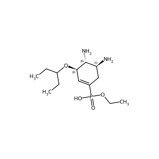 CCOP(=O)(O)C1=C[C@@H](OC(CC)CC)[C@H](N)[C@@H](N)C1